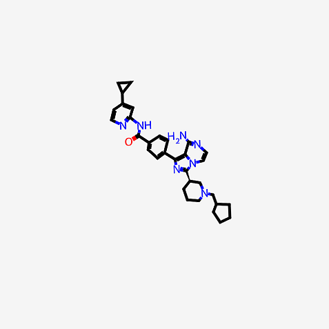 Nc1nccn2c([C@@H]3CCCN(CC4CCCC4)C3)nc(-c3ccc(C(=O)Nc4cc(C5CC5)ccn4)cc3)c12